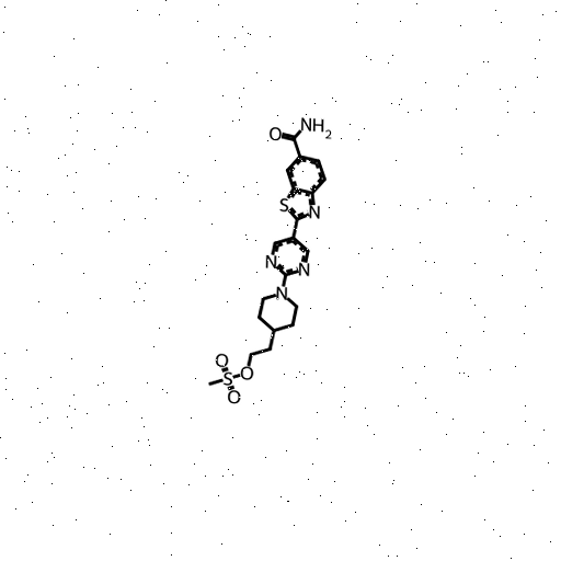 CS(=O)(=O)OCCC1CCN(c2ncc(-c3nc4ccc(C(N)=O)cc4s3)cn2)CC1